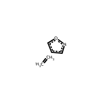 C=C.c1cnoc1